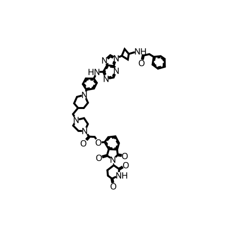 O=C1CC[C@H](N2C(=O)c3cccc(OCC(=O)N4CCN(CC5CCN(c6ccc(Nc7ncnc8c7ncn8C7CC(NC(=O)Cc8ccccc8)C7)cc6)CC5)CC4)c3C2=O)C(=O)N1